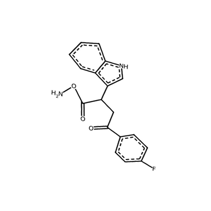 NOC(=O)C(CC(=O)c1ccc(F)cc1)c1c[nH]c2ccccc12